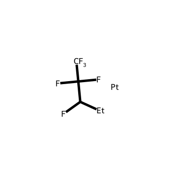 CCC(F)C(F)(F)C(F)(F)F.[Pt]